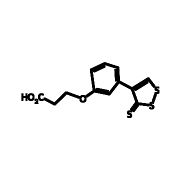 O=C(O)CCOc1cccc(-c2cssc2=S)c1